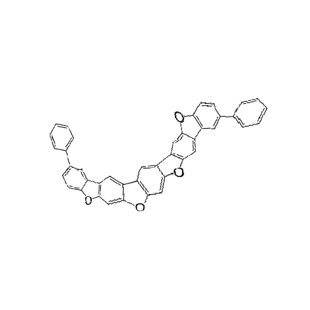 c1ccc(-c2ccc3oc4cc5c(cc4c3c2)oc2cc3oc4cc6oc7ccc(-c8ccccc8)cc7c6cc4c3cc25)cc1